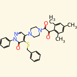 Cc1cc(C)c(C(=O)C(=O)N2CCN(c3cnn(-c4ccccc4)c(=O)c3SCc3ccccc3)CC2)c(C)c1